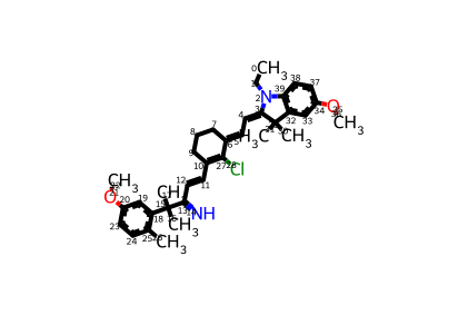 CCN1/C(=C/C=C2\CCCC(/C=C/C(=N)C(C)(C)c3cc(OC)ccc3C)=C2Cl)C(C)(C)c2cc(OC)ccc21